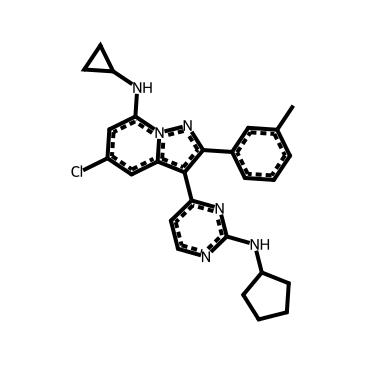 Cc1cccc(-c2nn3c(NC4CC4)cc(Cl)cc3c2-c2ccnc(NC3CCCC3)n2)c1